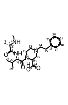 CN[C@@H](C)C(=O)N[C@H](C(=O)N1CCN(CCc2ccccc2)C[C@H]1C(=O)O)C(C)C